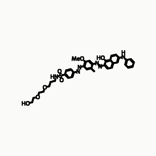 COc1cc(N=Nc2ccc3cc(Nc4ccccc4)ccc3c2O)c(C)cc1N=Nc1ccc(S(=O)(=O)NCCCOCCOCCO)cc1